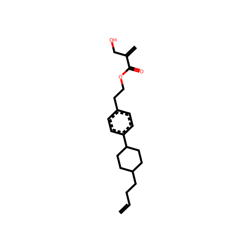 C=CCCC1CCC(c2ccc(CCOC(=O)C(=C)CO)cc2)CC1